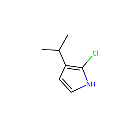 CC(C)c1cc[nH]c1Cl